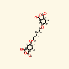 O=C1OC(=O)c2cc(OCCCCCCOc3ccc4c(c3)C(=O)OC4=O)ccc21